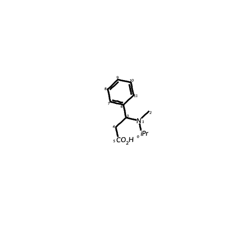 CC(C)N(C)C(CC(=O)O)c1ccccc1